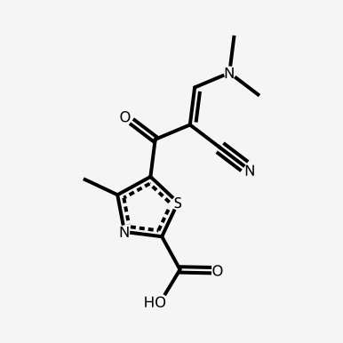 Cc1nc(C(=O)O)sc1C(=O)/C(C#N)=C/N(C)C